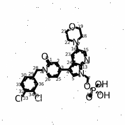 O=c1cc(-c2cn(COP(=O)(O)O)c3ncc(N4CCOCC4)cc23)ccn1Cc1ccc(Cl)c(Cl)c1